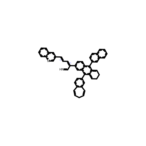 N=C/C(=C\C=C\c1cnc2ccccc2c1)c1ccc2c(-c3ccc4ccccc4c3)c3c(c(-c4ccc5c(c4)C=CCC=C5)c2c1)=CCCC=3